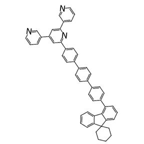 c1cncc(-c2cc(-c3ccc(-c4ccc(-c5ccc(-c6cccc7c6-c6ccccc6C76CCCCC6)cc5)cc4)cc3)nc(-c3cccnc3)c2)c1